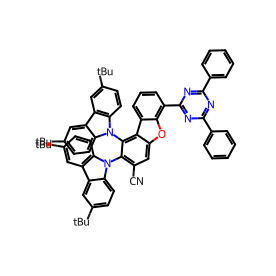 CC(C)(C)c1ccc2c(c1)c1cc(C(C)(C)C)ccc1n2-c1c(C#N)cc2oc3c(-c4nc(-c5ccccc5)nc(-c5ccccc5)n4)cccc3c2c1-n1c2ccc(C(C)(C)C)cc2c2cc(C(C)(C)C)ccc21